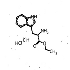 CCOC(=O)C(N)Cc1c[nH]c2ccccc12.Cl.Cl